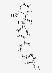 Cc1cnc(N=[N+]=NC(=O)c2ccc(NC(=O)c3ccccc3C)cc2)s1